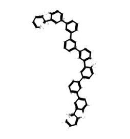 c1cc(-c2cccc(-c3ccc4oc5cccnc5c4c3)c2)cc(-c2ccc3oc4ccc(-c5cccc(-c6ccc7oc8cccnc8c7c6)c5)cc4c3c2)c1